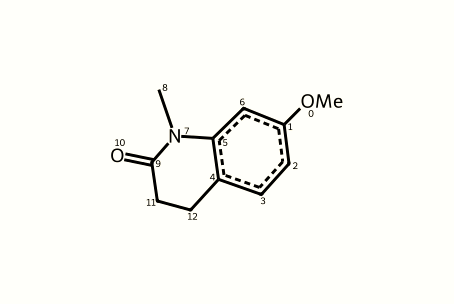 COc1ccc2c(c1)N(C)C(=O)CC2